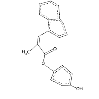 CC(=Cc1cccc2ccccc12)C(=O)Oc1ccc(O)cc1